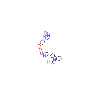 Cn1c2ccncc2c2ccc(-c3ccc(OC4CC(OC5CCN(c6ccnc(Br)n6)CC5)C4)nc3)cc21